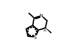 CC1=NC[C@@H](C)c2sccc21